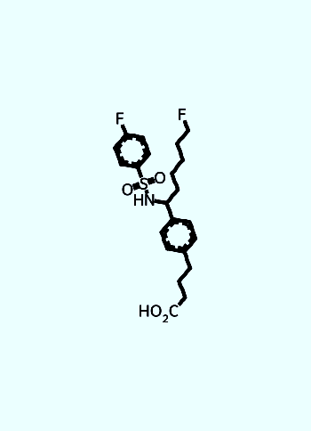 O=C(O)CCCc1ccc(C(CCCCCF)NS(=O)(=O)c2ccc(F)cc2)cc1